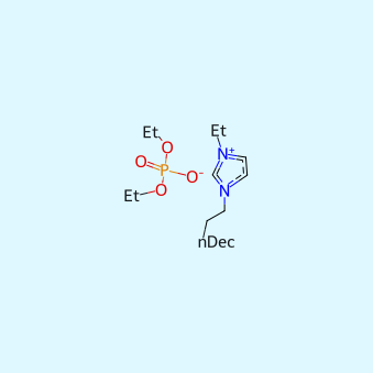 CCCCCCCCCCCCn1cc[n+](CC)c1.CCOP(=O)([O-])OCC